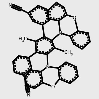 Cc1c(-c2cccc(C#N)c2)c(N2c3ccccc3Oc3ccccc32)c(C)c(N2c3ccccc3Oc3ccccc32)c1-c1cccc(C#N)c1